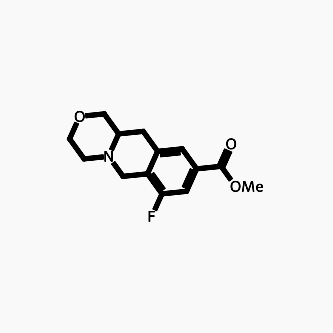 COC(=O)c1cc(F)c2c(c1)CC1COCCN1C2